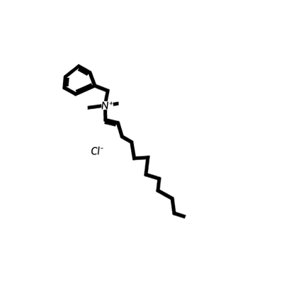 CCCCCCCCCC/C=C/[N+](C)(C)Cc1ccccc1.[Cl-]